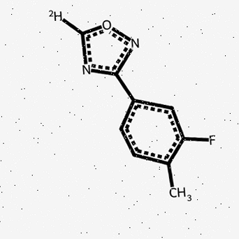 [2H]c1nc(-c2ccc(C)c(F)c2)no1